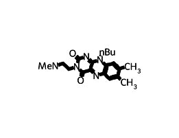 CCCCn1c2nc(=O)n(CCNC)c(=O)c-2nc2cc(C)c(C)cc21